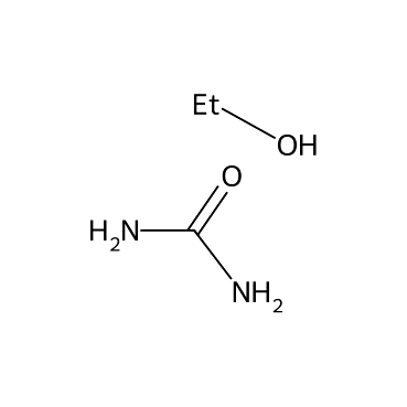 CCO.NC(N)=O